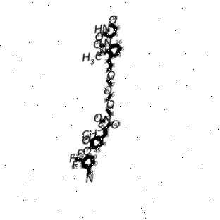 COc1cc(/C=C2\SC(=O)N(CCOCCOCCOCCCc3cccc4c3n(C)c(=O)n4C3CCC(=O)NC3=O)C2=O)ccc1Oc1ccc(C#N)cc1C(F)(F)F